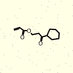 C=CC(=O)OCCC(=O)C1CCCCC1